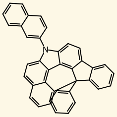 c1ccc(C23c4ccccc4-c4ccc5c(c42)c2c4c3cccc4ccc2n5-c2ccc3ccccc3c2)cc1